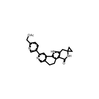 CC(=O)OCc1ccc(-c2cc3c(cn2)CCc2c-3[nH]c3c2C(=O)NC2(CC2)C3)cn1